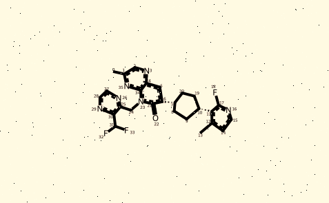 Cc1cnc2cc([C@H]3CC[C@@H](c4c(C)ccnc4F)CC3)c(=O)n(Cc3nccnc3C(F)F)c2n1